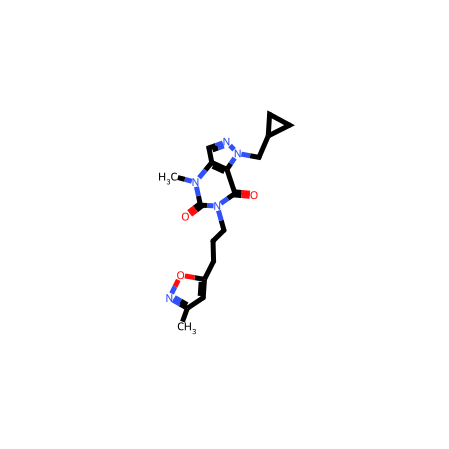 Cc1cc(CCCn2c(=O)c3c(cnn3CC3CC3)n(C)c2=O)on1